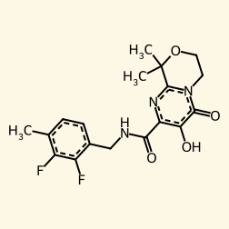 Cc1ccc(CNC(=O)c2nc3n(c(=O)c2O)CCOC3(C)C)c(F)c1F